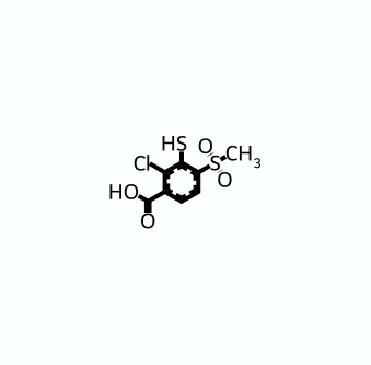 CS(=O)(=O)c1ccc(C(=O)O)c(Cl)c1S